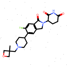 CC1(CN2CCC(c3cc4c(cc3F)C(=O)N(C3CCC(=O)NC3=O)C4)CC2)COC1